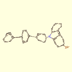 Brc1ccc2c(c1)c1ccccc1n2-c1ccc(-c2ccc(-c3ccccc3)cc2)cc1